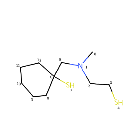 CN(CCS)CC1(S)CCCCC1